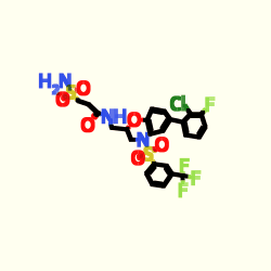 NS(=O)(=O)CCC(=O)NCC1CN(S(=O)(=O)c2cccc(C(F)(F)F)c2)c2cc(-c3cccc(F)c3Cl)ccc2O1